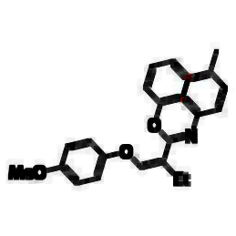 CCC(=COc1ccc(OC)cc1)/C(=N/c1ccc(C)cc1)Oc1ccccc1